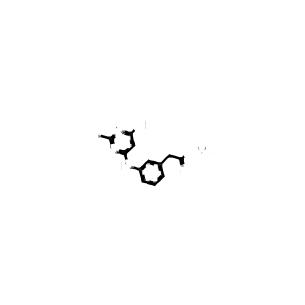 COC(=O)Cc1cccc(Nc2cc(C(F)(F)F)nc(Cl)n2)c1